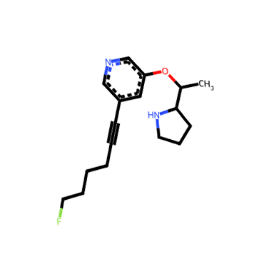 CC(Oc1cncc(C#CCCCCF)c1)C1CCCN1